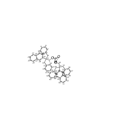 O=[PH](OCC(Cc1ccccc1)(Cc1ccccc1)c1ccc2ccccc2c1)OCC(Cc1ccccc1)(Cc1ccccc1)c1ccc2ccccc2c1